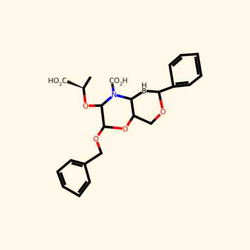 C[C@@H](OC1C(OCc2ccccc2)OC2COC(c3ccccc3)BC2N1C(=O)O)C(=O)O